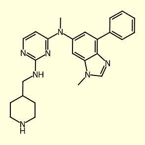 CN(c1cc(-c2ccccc2)c2ncn(C)c2c1)c1ccnc(NCC2CCNCC2)n1